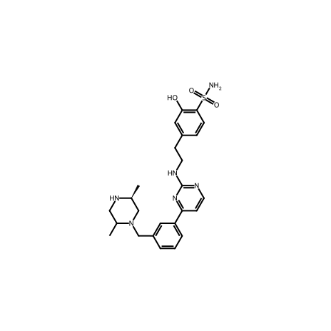 CC1CN[C@@H](C)CN1Cc1cccc(-c2ccnc(NCCc3ccc(S(N)(=O)=O)c(O)c3)n2)c1